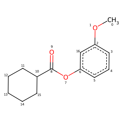 COc1cccc(OC(=O)C2CCCCC2)c1